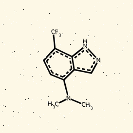 CN(C)c1ccc(C(F)(F)F)c2[nH]ncc12